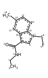 CCNC(=O)c1cn(SF)c2ncc(C)nc12